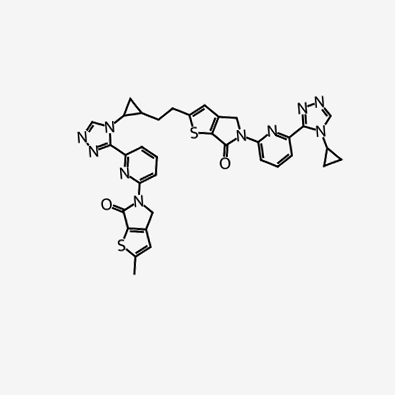 Cc1cc2c(s1)C(=O)N(c1cccc(-c3nncn3C3CC3CCc3cc4c(s3)C(=O)N(c3cccc(-c5nncn5C5CC5)n3)C4)n1)C2